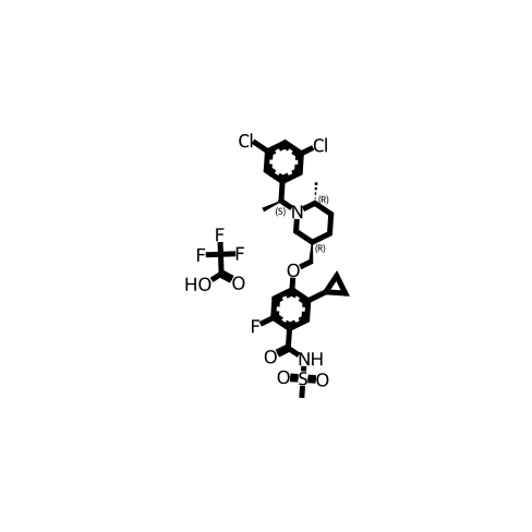 C[C@@H]1CC[C@@H](COc2cc(F)c(C(=O)NS(C)(=O)=O)cc2C2CC2)CN1[C@@H](C)c1cc(Cl)cc(Cl)c1.O=C(O)C(F)(F)F